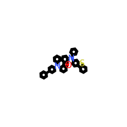 c1ccc(-c2ccc(N(c3ccccc3)c3cccc4oc5c(N(c6ccccc6)c6ccc7c(c6)sc6ccccc67)cccc5c34)cc2)cc1